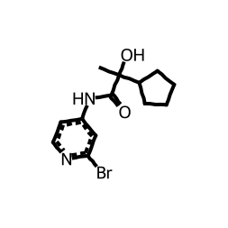 CC(O)(C(=O)Nc1ccnc(Br)c1)C1CCCC1